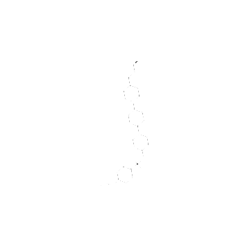 C=CCCC1CCC(C2CCC(C3CCC(OC(F)(F)C4CCC(OC)CC4)CC3)CC2)CC1